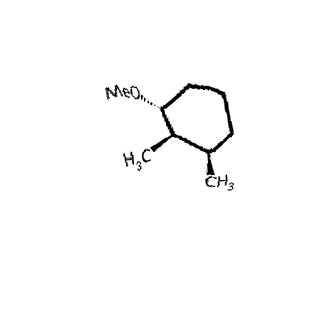 CO[C@@H]1CCC[C@@H](C)[C@H]1C